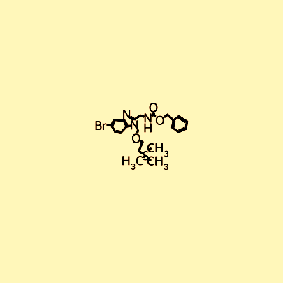 CS(C)(C)CCOCn1c(CNC(=O)OCc2ccccc2)nc2cc(Br)ccc21